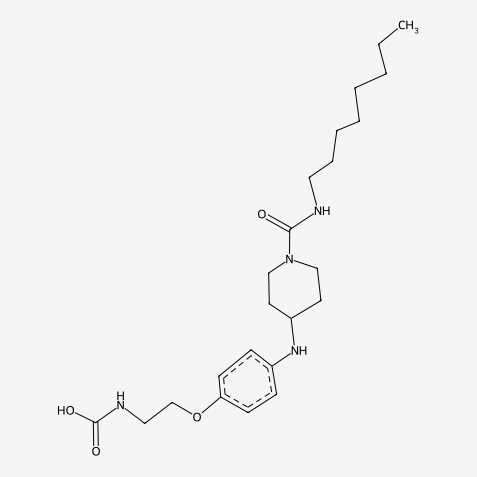 CCCCCCCCNC(=O)N1CCC(Nc2ccc(OCCNC(=O)O)cc2)CC1